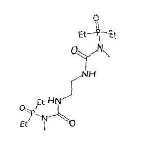 CCP(=O)(CC)N(C)C(=O)NCCNC(=O)N(C)P(=O)(CC)CC